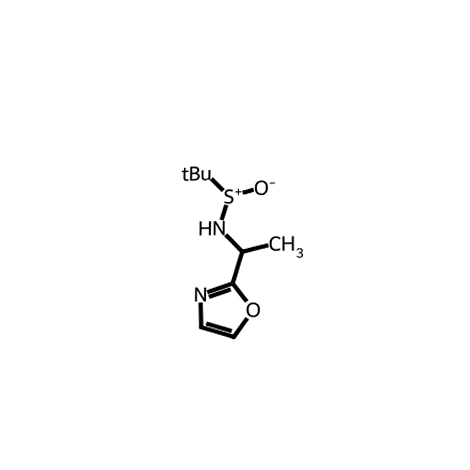 CC(N[S+]([O-])C(C)(C)C)c1ncco1